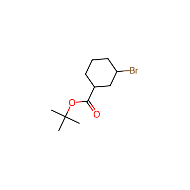 CC(C)(C)OC(=O)C1CCCC(Br)C1